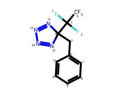 FC(F)(F)C(F)(F)C1(Cc2ccccc2)N=NN=N1